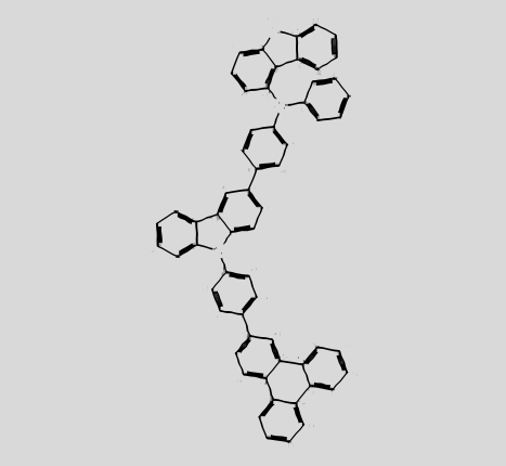 c1ccc(N(c2ccc(-c3ccc4c(c3)c3ccccc3n4-c3ccc(-c4ccc5c6ccccc6c6ccccc6c5c4)cc3)cc2)c2cccc3sc4ccccc4c23)cc1